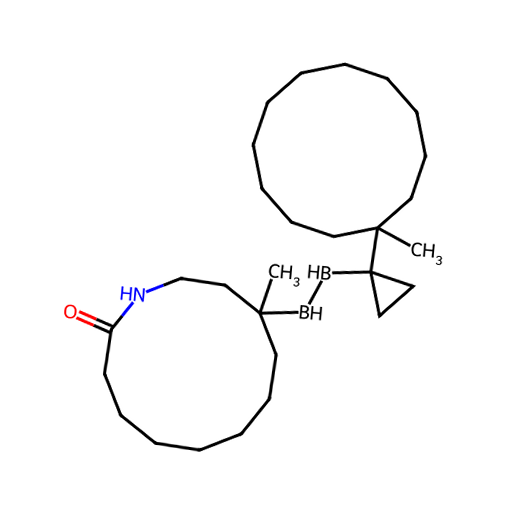 CC1(BBC2(C3(C)CCCCCCCCCCC3)CC2)CCCCCCCC(=O)NCC1